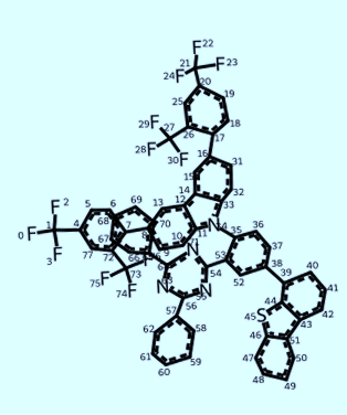 FC(F)(F)c1ccc(-c2ccc3c(c2)c2cc(-c4ccc(C(F)(F)F)cc4C(F)(F)F)ccc2n3-c2ccc(-c3cccc4c3sc3ccccc34)cc2-c2nc(-c3ccccc3)nc(-c3ccccc3)n2)c(C(F)(F)F)c1